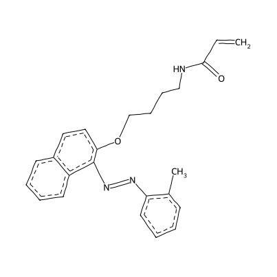 C=CC(=O)NCCCCOc1ccc2ccccc2c1N=Nc1ccccc1C